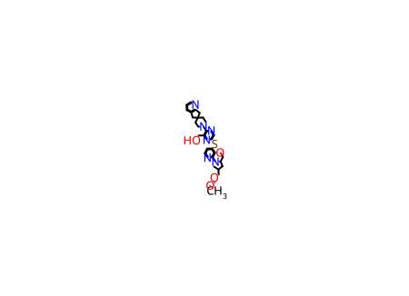 COCOCC1CC2COc3c(Sc4cnc(N5CCC6(CC5)Cc5cccnc5C6)c(CO)n4)ccnc3N2C1